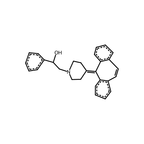 OC(CN1CCC(=C2c3ccccc3C=Cc3ccccc32)CC1)c1ccccc1